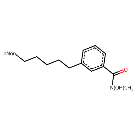 CCCCCCCCCCCCCCc1cccc(C(=O)N(C)O)c1